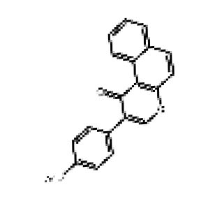 CC(=O)Oc1ccc(-c2coc3ccc4ccccc4c3c2=O)cc1